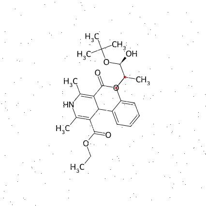 CCOC(=O)C1=C(C)NC(C)=C(C(=O)OCC)C1c1ccccc1CC[C@H](O)OC(C)(C)C